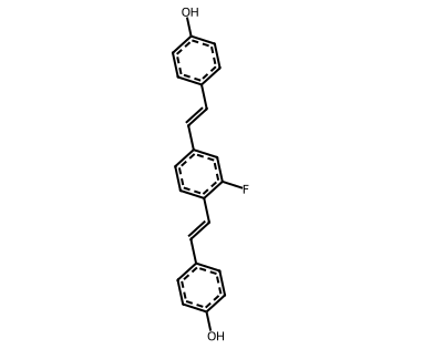 Oc1ccc(C=Cc2ccc(C=Cc3ccc(O)cc3)c(F)c2)cc1